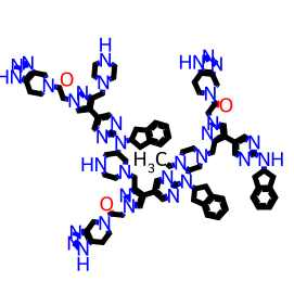 CCN1CCN(Cc2nn(CC(=O)N3CCc4[nH]nnc4C3)cc2-c2cnc(NC3Cc4ccccc4C3)nc2)CC1N(c1ncc(-c2cn(CC(=O)N3CCc4[nH]nnc4C3)nc2CN2CCNCC(N(c3ncc(-c4cn(CC(=O)N5CCc6[nH]nnc6C5)nc4CN4CCNCC4)cn3)C3Cc4ccccc4C3)C2)cn1)C1Cc2ccccc2C1